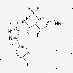 CNCc1cc(F)c(-c2ncc3[nH]nc(-c4ccc(F)nc4)c3n2)c(C(F)(F)F)c1